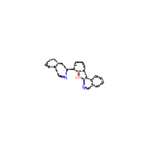 c1ccc2cc(-c3cccc4c3oc3ncc5ccccc5c34)ncc2c1